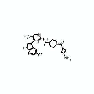 C[C@@H](Nc1ncc(N)c(-c2c[nH]c3ncc(C(F)(F)F)cc23)n1)C1CCN(C(=O)[C@H]2C[C@@H](N)C2)CC1